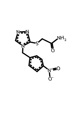 NC(=O)CSc1nncn1Cc1ccc([N+](=O)[O-])cc1